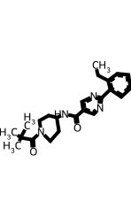 CCc1ccccc1-c1ncc(C(=O)NC2CCN(C(=O)C(C)(C)C)CC2)cn1